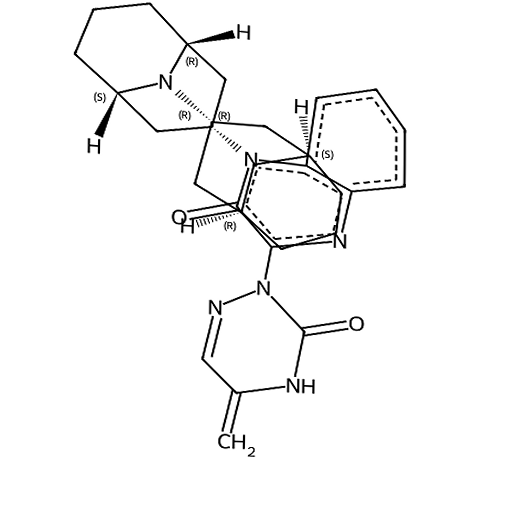 C=C1C=NN(c2nc3ccccc3n([C@H]3C[C@H]4CCC[C@@H](C3)N4[C@H]3C[C@@H]4CCC[C@@H](C4)C3)c2=O)C(=O)N1